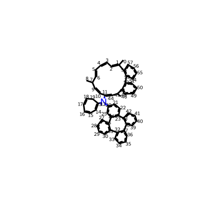 C\C1=C/C=C\C=C\C(C)/C=C\C(N(C2=CC=CC=CC2)c2ccc3c(c2)-c2ccccc2-c2ccccc2-c2ccccc2-3)=C/C(C)c2ccccc2-c2ccccc21